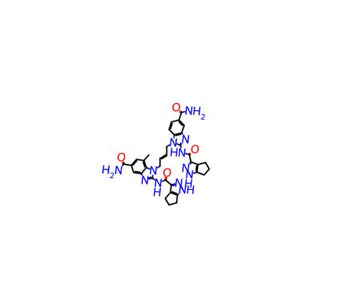 Cc1cc(C(N)=O)cc2nc(NC(=O)c3n[nH]c4c3CCC4)n(C/C=C/Cn3c(NC(=O)c4n[nH]c5c4CCC5)nc4cc(C(N)=O)ccc43)c12